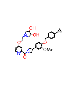 COc1cc(C2CN(C(=O)c3cc(OCCN4C[C@@H](O)[C@H](O)C4)ccn3)C2)ccc1OCc1ccc(C2CC2)cc1